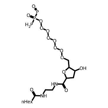 CCCCCCC(=O)NCCNC(=O)C1CC(O)C(COOOOOOOOP(=O)(P)P=O)O1